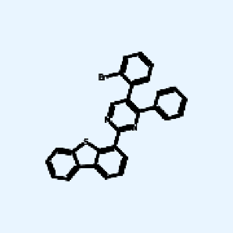 Brc1ccccc1-c1cnc(-c2cccc3c2sc2ccccc23)nc1-c1ccccc1